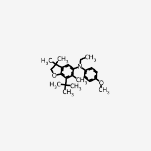 CCN(c1ccc(OC)cc1)c1cc2c(c(C(C)(C)C)c1C)OCC2(C)C